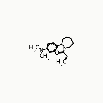 C=CC(=O)N1CCCCCC1c1ccc(N(C)C)cc1